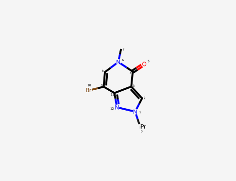 CC(C)n1cc2c(=O)n(C)cc(Br)c2n1